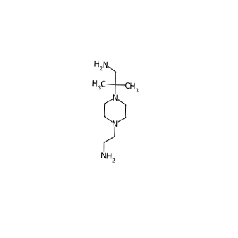 CC(C)(CN)N1CCN(CCN)CC1